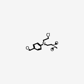 CS(=O)(=O)CCN(CCCl)c1ccc([C]=O)cc1